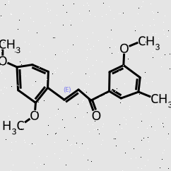 COc1cc(C)cc(C(=O)/C=C/c2ccc(OC)cc2OC)c1